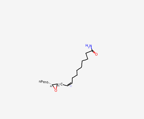 CCCCC[C@H]1O[C@H]1C/C=C\CCCCCCCC(N)=O